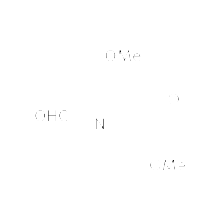 COCN(C=O)C(=O)OC